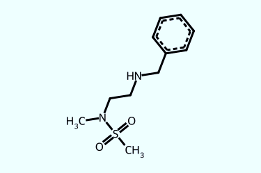 CN(CCNCc1ccccc1)S(C)(=O)=O